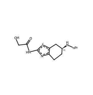 CCCN[C@H]1CCc2nc(NC(=O)CO)sc2C1